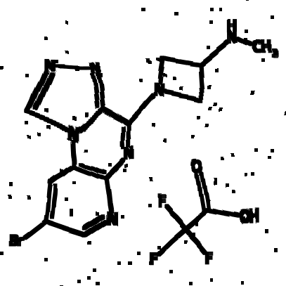 CNC1CN(c2nc3ncc(Br)cc3n3cnnc23)C1.O=C(O)C(F)(F)F